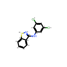 Clc1cc(Cl)cc(Nc2nsc3ccccc23)c1